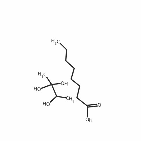 CC(O)C(C)(O)O.CCCCCCCC(=O)O